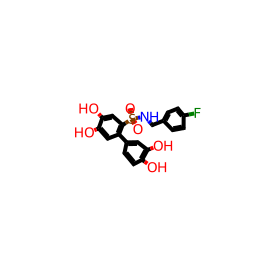 O=S(=O)(NCc1ccc(F)cc1)c1cc(O)c(O)cc1-c1ccc(O)c(O)c1